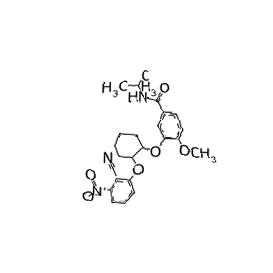 COc1ccc(C(=O)NC(C)C)cc1OC1CCCCC1Oc1cccc([N+](=O)[O-])c1C#N